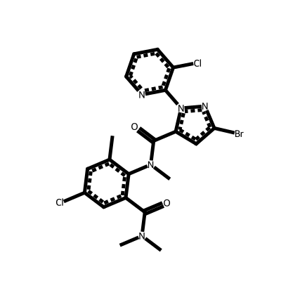 Cc1cc(Cl)cc(C(=O)N(C)C)c1N(C)C(=O)c1cc(Br)nn1-c1ncccc1Cl